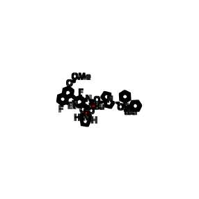 CCc1c(F)ccc2cc(OCOC)cc(-c3ncc4c(N5C[C@H]6CC[C@@H](C5)N6C(=O)OC(C)(C)C)nc(OC[C@@]56CCCN5[C@H](CO[Si](c5ccccc5)(c5ccccc5)C(C)(C)C)CC6)nc4c3F)c12